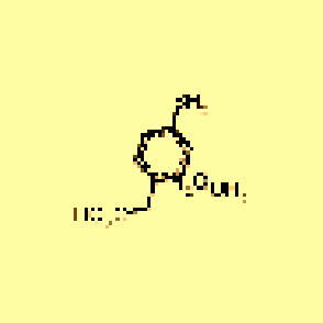 Bc1ccc(CC(=O)O)cc1.O.O